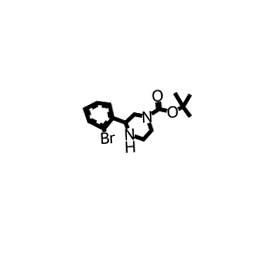 CC(C)(C)OC(=O)N1CCNC(c2ccccc2Br)C1